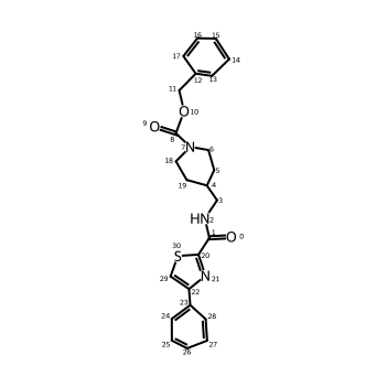 O=C(NCC1CCN(C(=O)OCc2ccccc2)CC1)c1nc(-c2ccccc2)cs1